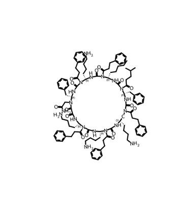 CCCCC[C@@H]1NC(=O)N(C(=O)CCC(C)C)[C@H](Cc2ccccc2)NC(=O)N(C(=O)CCc2ccccc2)C[C@H](CCCCN)NC(=O)N(C(=O)CCc2ccccc2)[C@H](CCCCN)NC(=O)N(C(=O)CCc2ccccc2)[C@H](CCCCN)NC(=O)C(=O)N(CC(N)=O)[C@H](Cc2ccccc2)NC(=O)N(C(=O)CCc2ccccc2)[C@H](CCCCN)NC(=O)N1C(=O)CCc1ccccc1